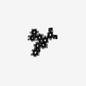 N#Cc1cc(C#N)cc(-c2cccc(-c3ccc(-n4c5ccccc5c5ccccc54)cc3-n3c4ccccc4c4c5sc6ccccc6c5ccc43)c2)c1